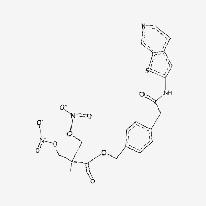 CC(CO[N+](=O)[O-])(CO[N+](=O)[O-])C(=O)OCc1ccc(CC(=O)Nc2cc3ccncc3s2)cc1